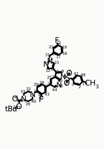 Cc1ccc(S(=O)(=O)n2cc(-c3cnn(Cc4cccc(F)c4)c3)c3cc(-c4ccc(N5CCN(C(=O)OC(C)(C)C)CC5)c(F)c4)cnc32)cc1